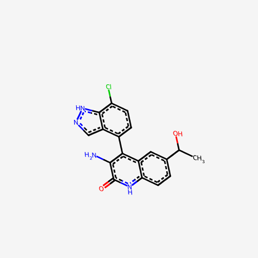 CC(O)c1ccc2[nH]c(=O)c(N)c(-c3ccc(Cl)c4[nH]ncc34)c2c1